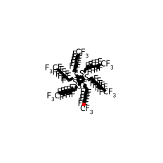 FC(F)(F)C(F)(F)C(F)(F)C(F)(F)C(F)(F)C(F)(F)CCSc1c(SCCC(F)(F)C(F)(F)C(F)(F)C(F)(F)C(F)(F)C(F)(F)F)c(SCCC(F)(F)C(F)(F)C(F)(F)C(F)(F)C(F)(F)C(F)(F)F)c(SCCC(F)(F)C(F)(F)C(F)(F)C(F)(F)C(F)(F)C(F)(F)F)c(SCCC(F)(F)C(F)(F)C(F)(F)C(F)(F)C(F)(F)C(F)(F)F)c1SCCC(F)(F)C(F)(F)C(F)(F)C(F)(F)C(F)(F)C(F)(F)F